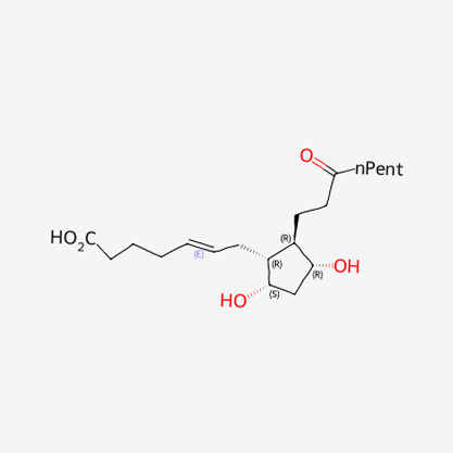 CCCCCC(=O)CC[C@@H]1[C@@H](C/C=C/CCCC(=O)O)[C@@H](O)C[C@H]1O